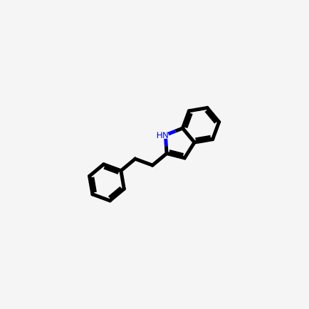 [CH](Cc1cc2ccccc2[nH]1)c1ccccc1